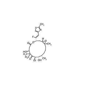 CC[C@H]1C(=O)C(C)(C)[C@@H](O)CC(=O)O[C@H](C(F)=Cc2csc(C)n2)C[C@@H]2O[C@]2(C)CCC[C@H](C)[C@@H]1O